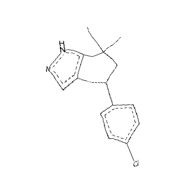 CC1(C)CC(c2ccc(Cl)cc2)c2cn[nH]c21